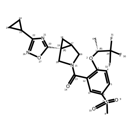 C[C@@H](Oc1ccc(S(C)(=O)=O)cc1C(=O)N1CC2C[C@]2(c2nc(C3CC3)no2)C1)C(F)(F)F